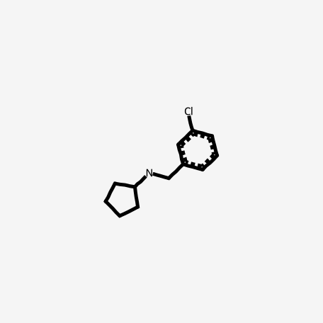 Clc1cccc(C[N]C2CCCC2)c1